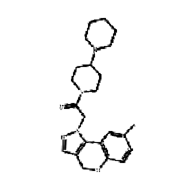 Cc1ccc2c(c1)-c1c(cnn1CC(=O)N1CCC(N3CCCCC3)CC1)CO2